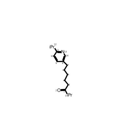 CC(C)C(=O)CCCCCc1ccc(C(C)C)nc1